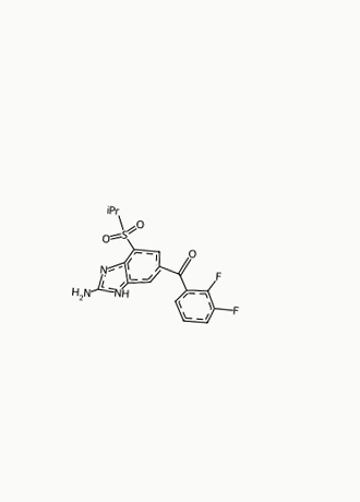 CC(C)S(=O)(=O)c1cc(C(=O)c2cccc(F)c2F)cc2[nH]c(N)nc12